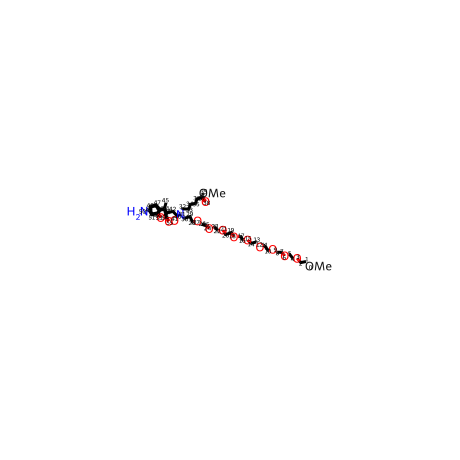 COCCOCCOCCOCCOCCOCCOCCOCCOCCOCCCN(CCCCCC(=O)OC)C(=O)Cc1c(C)c2ccc(N)cc2oc1=O